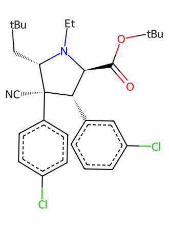 CCN1[C@@H](CC(C)(C)C)[C@](C#N)(c2ccc(Cl)cc2)[C@@H](c2cccc(Cl)c2)[C@@H]1C(=O)OC(C)(C)C